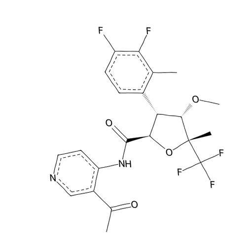 CO[C@H]1[C@@H](c2ccc(F)c(F)c2C)[C@H](C(=O)Nc2ccncc2C(C)=O)O[C@@]1(C)C(F)(F)F